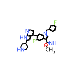 COC(=N)c1cn(Cc2cccc(F)c2)c2cc(-c3ccnc4[nH]c(C5CCNCC5)cc34)c(F)cc12